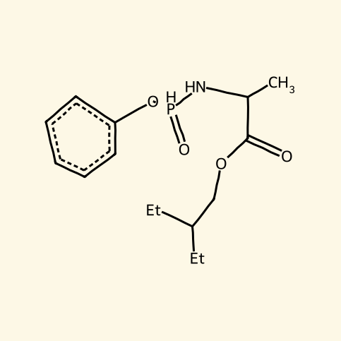 CCC(CC)COC(=O)C(C)N[PH](=O)Oc1ccccc1